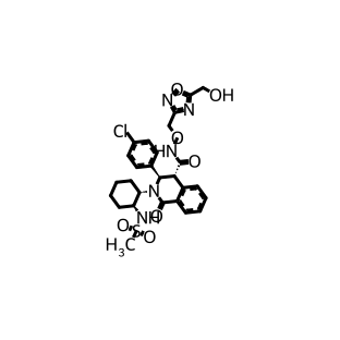 CS(=O)(=O)N[C@H]1CCCC[C@@H]1N1C(=O)c2ccccc2[C@@H](C(=O)NOCc2noc(CO)n2)[C@@H]1c1ccc(Cl)cc1